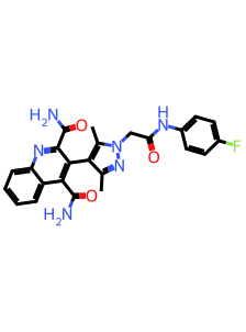 Cc1nn(CC(=O)Nc2ccc(F)cc2)c(C)c1-c1c(C(N)=O)nc2ccccc2c1C(N)=O